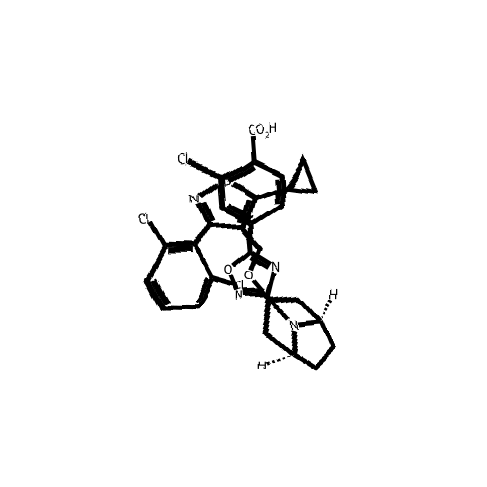 O=C(O)c1ccc(-c2nc(N3[C@@H]4CC[C@H]3CC(OCc3c(-c5c(Cl)cccc5Cl)noc3C3CC3)C4)no2)cc1Cl